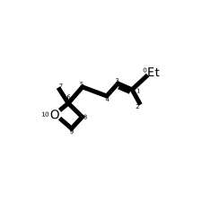 CC/C(C)=C/CCC1(C)CCO1